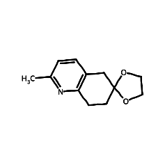 Cc1ccc2c(n1)CCC1(C2)OCCO1